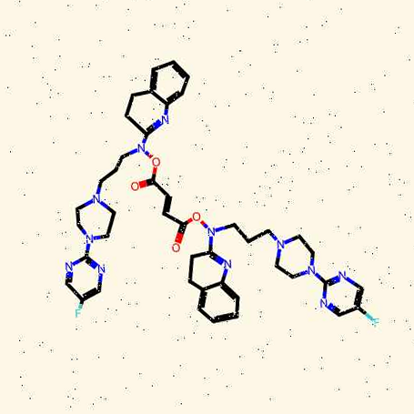 O=C(/C=C/C(=O)ON(CCCN1CCN(c2ncc(F)cn2)CC1)C1=Nc2ccccc2CC1)ON(CCCN1CCN(c2ncc(F)cn2)CC1)C1=Nc2ccccc2CC1